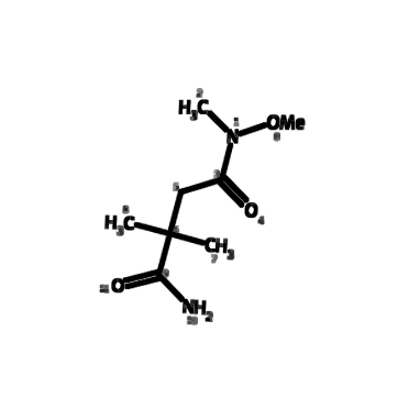 CON(C)C(=O)CC(C)(C)C(N)=O